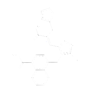 CCCCc1ncc(/C=C(\Cc2cccs2)C(=O)OC)n1Cc1ccc(C(=O)OC)c2ccccc12